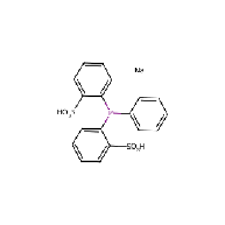 O=S(=O)(O)c1ccccc1P(c1ccccc1)c1ccccc1S(=O)(=O)O.[Na]